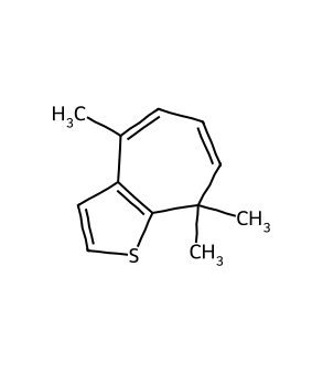 CC1=CC=CC(C)(C)c2sccc21